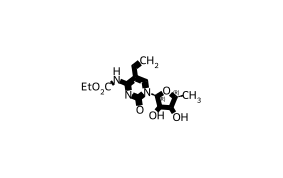 C=Cc1cn([C@@H]2O[C@H](C)C(O)C2O)c(=O)nc1NC(=O)OCC